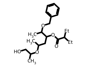 CCC(CC)C(=O)OC(CC(C)OC(C)CO)C(C)OCc1ccccc1